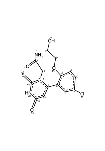 NC(=O)Cn1c(-c2cc(Cl)ccc2OCCO)cc(=O)[nH]c1=S